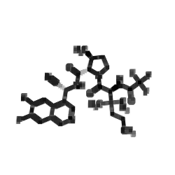 CCCC(C)(C)[C@H](NC(=O)C(F)(F)F)C(=O)N1CC[C@H](C)[C@H]1C(=O)N[C@@H](C#N)c1cncc2cc(F)c(F)cc12